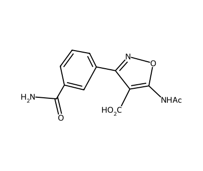 CC(=O)Nc1onc(-c2cccc(C(N)=O)c2)c1C(=O)O